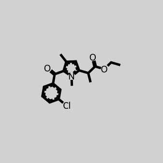 CCOC(=O)C(C)c1cc(C)c(C(=O)c2cccc(Cl)c2)n1C